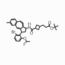 Cc1ccc2c(c1)C=C1C(=C=C2)[C@@H](NC(=O)C2CC(CCC(=O)OC(C)(C)C)C2)CC1c1c(Br)cccc1OC(C)F